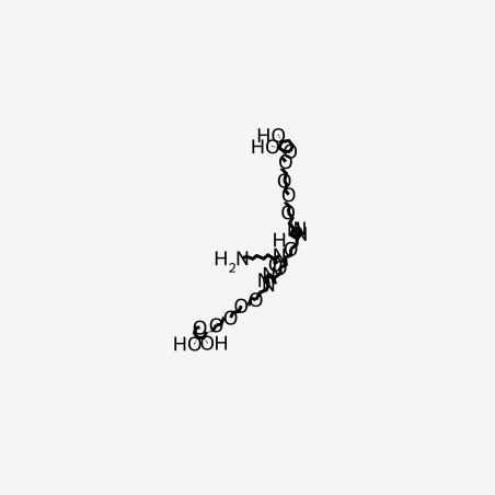 NCCCCCC(=O)NC(COCc1cn(CCOCCOCCOCCOC[C@H]2OCC[C@@H](O)[C@H]2O)nn1)COCc1cn(CCOCCOCCOCCOC[C@H]2OCC[C@@H](O)[C@H]2O)nn1